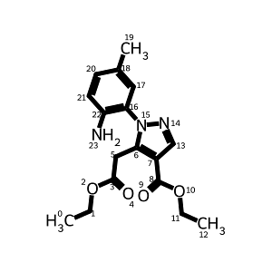 CCOC(=O)Cc1c(C(=O)OCC)cnn1-c1cc(C)ccc1N